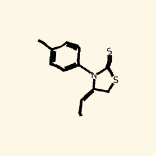 CC=C1CSC(=S)N1c1ccc(C)cc1